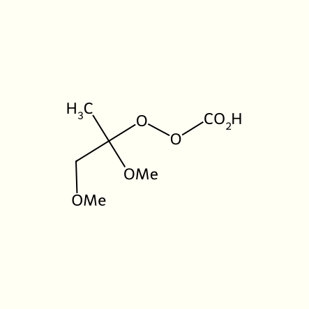 COCC(C)(OC)OOC(=O)O